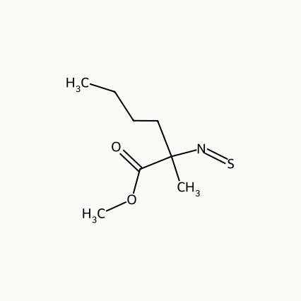 CCCCC(C)(N=S)C(=O)OC